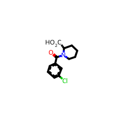 O=C(O)C1CCCCN1C(=O)c1cccc(Cl)c1